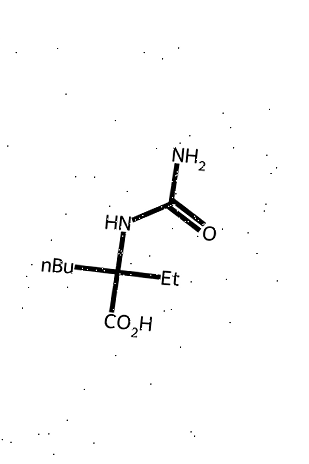 CCCCC(CC)(NC(N)=O)C(=O)O